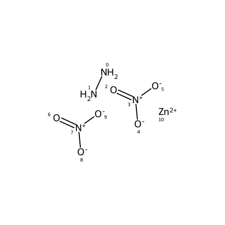 NN.O=[N+]([O-])[O-].O=[N+]([O-])[O-].[Zn+2]